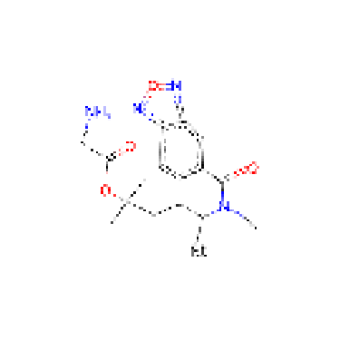 CCC(CCC(C)(C)OC(=O)CN)N(C)C(=O)c1ccc2nonc2c1